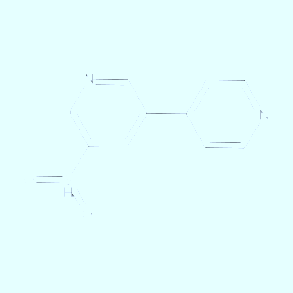 O=[SH](=O)c1cncc(-c2ccncc2)c1